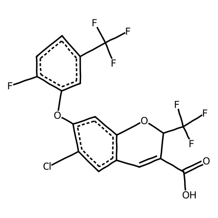 O=C(O)C1=Cc2cc(Cl)c(Oc3cc(C(F)(F)F)ccc3F)cc2OC1C(F)(F)F